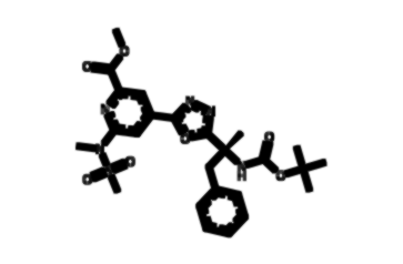 COC(=O)c1cc(-c2nnc([C@@](C)(Cc3ccccc3)NC(=O)OC(C)(C)C)o2)cc(N(C)S(C)(=O)=O)n1